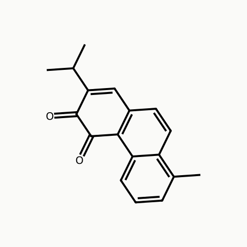 Cc1cccc2c3c(ccc12)C=C(C(C)C)C(=O)C3=O